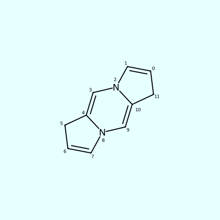 C1=CN2C=C3CC=CN3C=C2C1